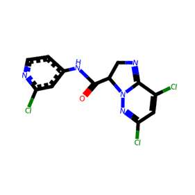 O=C(Nc1ccnc(Cl)c1)C1CN=C2C(Cl)=CC(Cl)=NN21